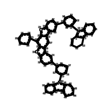 C1=Cc2c(c3ccccc3n2-c2cccc(-c3ccc4oc5c(-c6ccccc6)c6oc7ccc(-c8cccc(-n9c%10ccccc%10c%10ccccc%109)c8)cc7c6cc5c4c3)c2)CC1